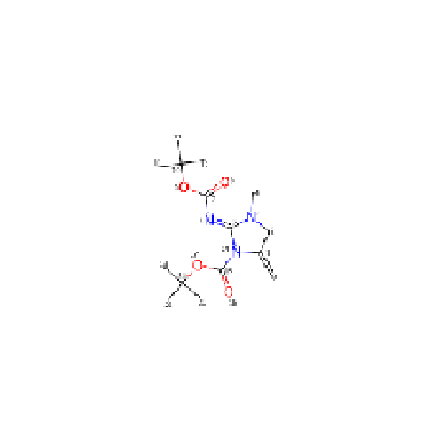 C=C1CN(C)/C(=N\C(=O)OC(C)(C)C)N1C(=O)OC(C)(C)C